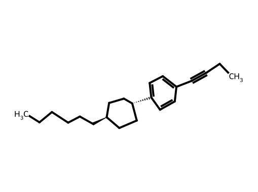 CCC#Cc1ccc([C@H]2CC[C@H](CCCCCC)CC2)cc1